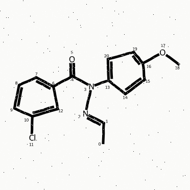 CC=NN(C(=O)c1cccc(Cl)c1)c1ccc(OC)cc1